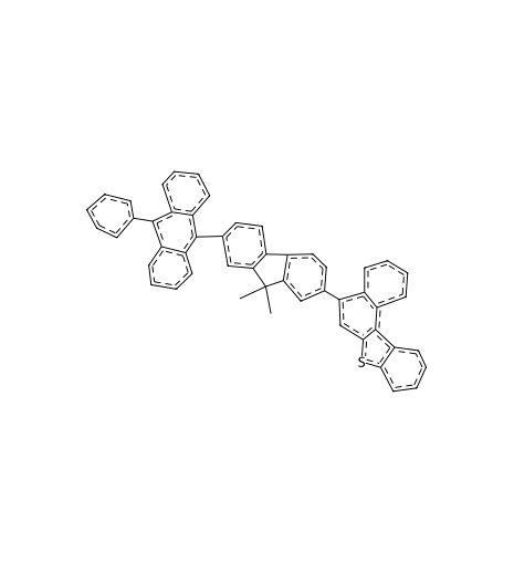 CC1(C)c2cc(-c3c4ccccc4c(-c4ccccc4)c4ccccc34)ccc2-c2ccc(-c3cc4sc5ccccc5c4c4ccccc34)cc21